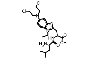 CCn1c(C[C@H](NC(=O)[C@@H](N)CC(C)C)C(=O)O)nc2cc(N(CCCl)CCCl)ccc21